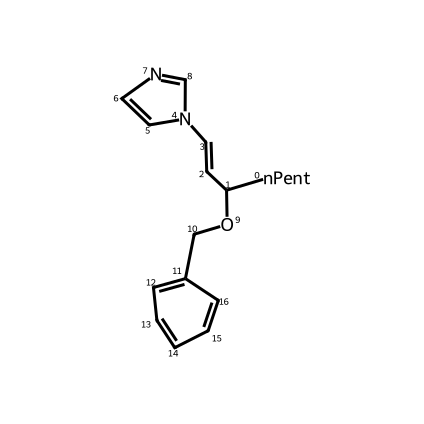 CCCCCC(/C=C/n1ccnc1)OCc1ccccc1